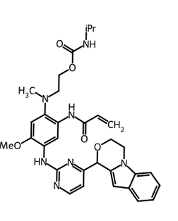 C=CC(=O)Nc1cc(Nc2nccc(C3OCCn4c3cc3ccccc34)n2)c(OC)cc1N(C)CCOC(=O)NC(C)C